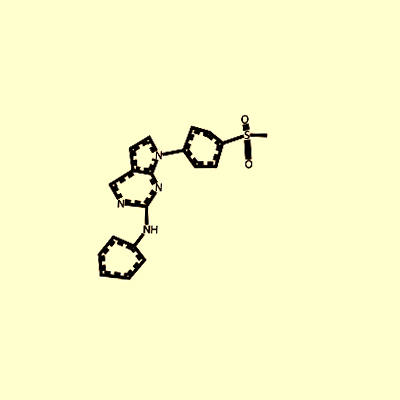 CS(=O)(=O)c1ccc(-n2ccc3cnc(Nc4ccccc4)nc32)cc1